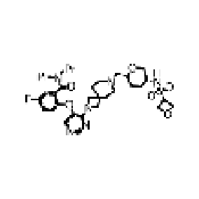 CC(C)N(C(=O)c1cc(F)ccc1Oc1cncnc1N1CC2(CCN(C[C@@H]3CC[C@@H](NS(=O)(=O)C4COC4)CO3)CC2)C1)C(C)C